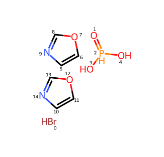 Br.O=[PH](O)O.c1cocn1.c1cocn1